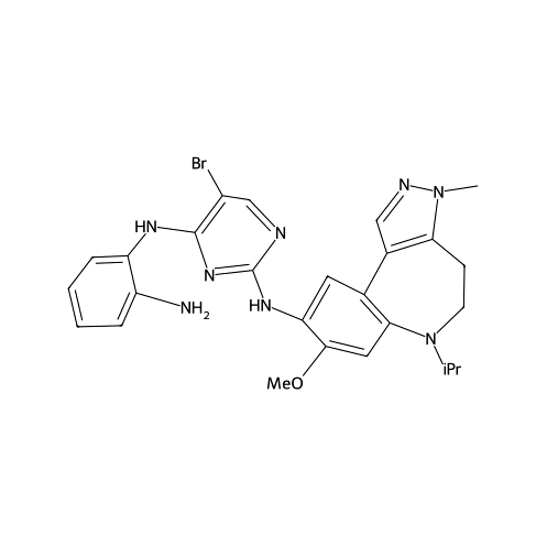 COc1cc2c(cc1Nc1ncc(Br)c(Nc3ccccc3N)n1)-c1cnn(C)c1CCN2C(C)C